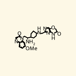 COc1ccc2ncc(=O)n(C[C@H](N)C3CCC(NCc4ncc5c(n4)NC(=O)CO5)CC3)c2c1